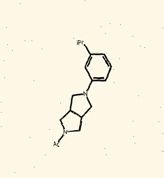 CC(=O)N1CC2CN(c3cccc(C(C)C)c3)CC2C1